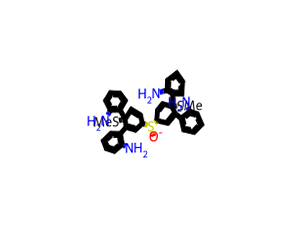 CSC1(c2ccccc2N)C=CC([S+]([O-])C2C=CC(SC)(c3ccccc3N)C(c3ccccc3N)=C2)C=C1c1ccccc1N